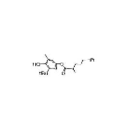 Cc1cc(OC(=O)C(C)CCCC(C)C)cc(C(C)(C)C)c1O